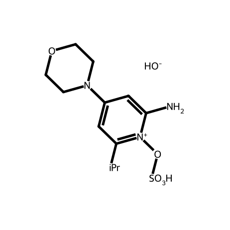 CC(C)c1cc(N2CCOCC2)cc(N)[n+]1OS(=O)(=O)O.[OH-]